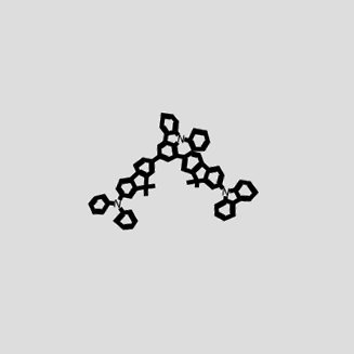 CC1(C)c2cc(-c3cc(-c4ccc5c(c4)C(C)(C)c4cc(-n6c7ccccc7c7ccccc76)ccc4-5)c4c(c3)c3ccccc3n4-c3ccccc3)ccc2-c2ccc(N(c3ccccc3)c3ccccc3)cc21